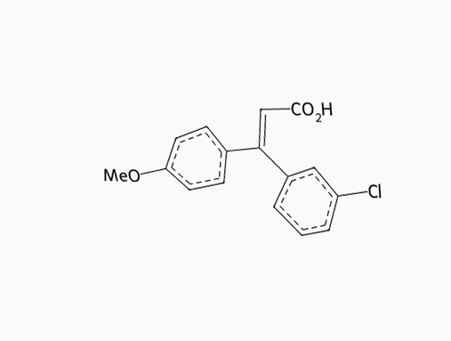 COc1ccc(/C(=C/C(=O)O)c2cccc(Cl)c2)cc1